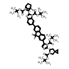 CC(C)(C)OC(=O)N1CC2(CC2)C[C@H]1c1ncc(-c2ccc3c(c2)C(F)(F)c2cc(-c4ccc5nc([C@@H]6[C@H]7CCC(C7)N6C(=O)OC(C)(C)C)n(C(=O)OC(C)(C)C)c5c4)ccc2-3)n1C(=O)OC(C)(C)C